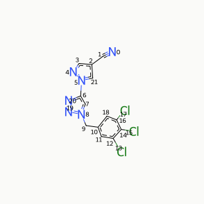 N#Cc1cnn(-c2cn(Cc3cc(Cl)c(Cl)c(Cl)c3)nn2)c1